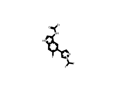 CCC(=O)Nc1c[nH]c2cc(F)c(-c3cnn(C(F)F)c3)cc12